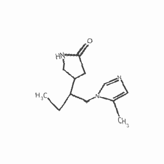 CCC(Cn1cncc1C)C1CNC(=O)C1